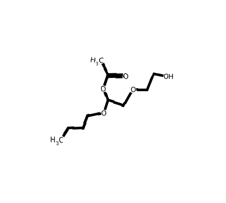 CCCCOC(COCCO)OC(C)=O